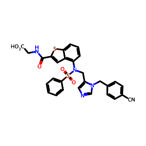 N#Cc1ccc(Cn2cncc2CN(c2cccc3sc(C(=O)NCC(=O)O)cc23)S(=O)(=O)c2ccccc2)cc1